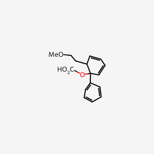 COCCC1C=CC=CC1(OC(=O)O)c1ccccc1